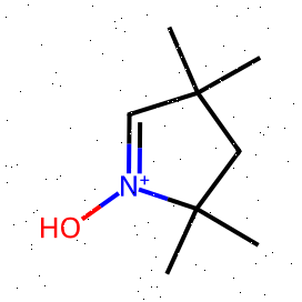 CC1(C)C=[N+](O)C(C)(C)C1